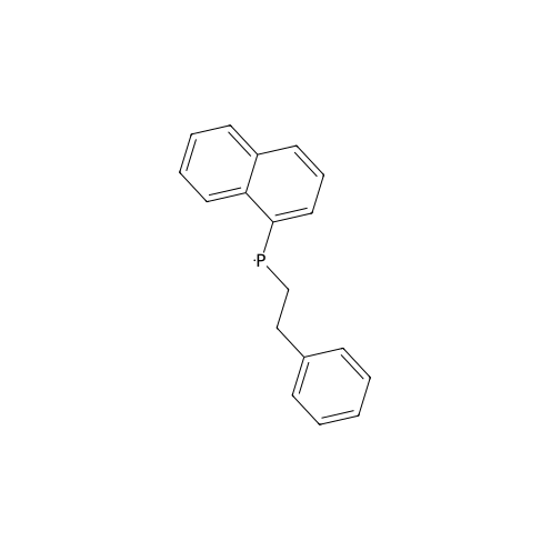 c1ccc(CC[P]c2cccc3ccccc23)cc1